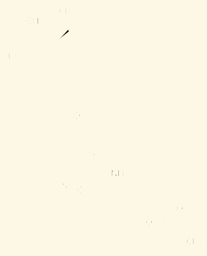 C=CC(=O)OCCNC(=O)OC(COc1ccc([C@H](CC)C(C)C)cc1)CSc1ccccc1